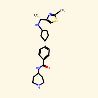 Cc1nc([C@@H](C)NC2CC[C@H](c3ccc(C(=O)NC4CCNCC4)cc3)C2)cs1